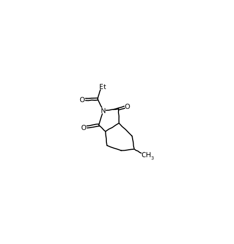 CCC(=O)N1C(=O)C2CCC(C)CC2C1=O